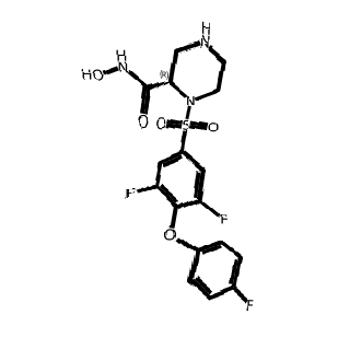 O=C(NO)[C@H]1CNCCN1S(=O)(=O)c1cc(F)c(Oc2ccc(F)cc2)c(F)c1